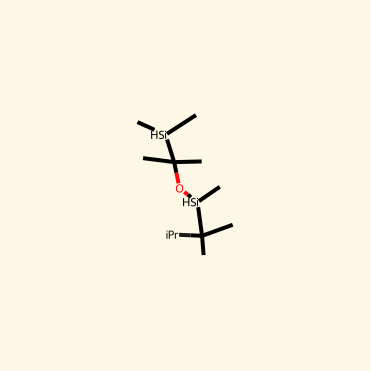 CC(C)C(C)(C)[SiH](C)OC(C)(C)[SiH](C)C